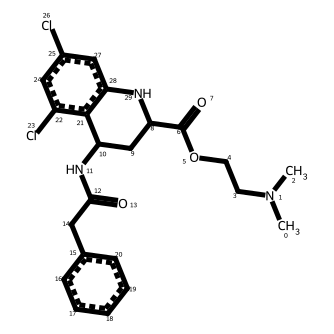 CN(C)CCOC(=O)C1CC(NC(=O)Cc2ccccc2)c2c(Cl)cc(Cl)cc2N1